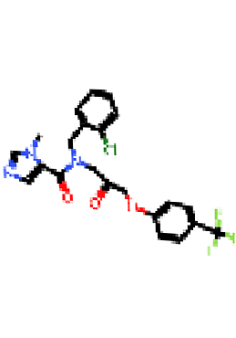 Cn1cncc1C(=O)N(CC(=O)COc1ccc(C(F)(F)F)cc1)Cc1ccccc1Cl